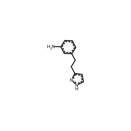 Nc1cccc(CCc2cc[nH]n2)c1